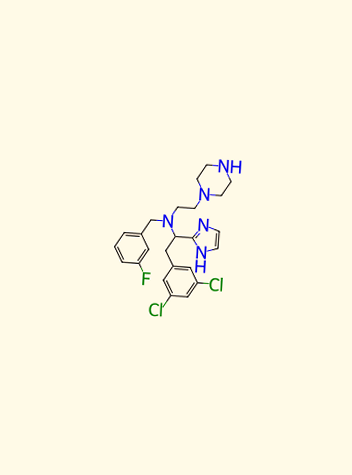 Fc1cccc(CN(CCN2CCNCC2)C(Cc2cc(Cl)cc(Cl)c2)c2ncc[nH]2)c1